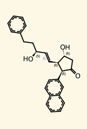 O=C1C[C@@H](O)[C@H](/C=C/[C@@H](O)CCc2ccccc2)[C@@H]1c1ccc2ccccc2c1